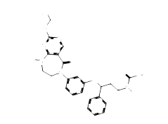 CCNc1ncc2c(n1)N(C)CCN(c1cccc(OC(CCN(C)C(=O)O)c3ccccc3)c1)C2=O